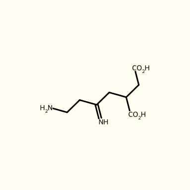 N=C(CCN)CC(CC(=O)O)C(=O)O